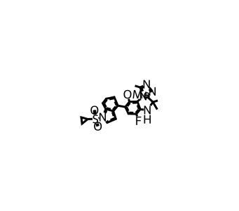 COc1c(-c2cccc3c2ccn3S(=O)(=O)C2CC2)cc(F)c2c1-n1c(C)nnc1C(C)(C)N2